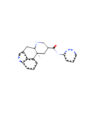 O=C(Nc1cccnn1)C1CN[C@@H]2Cc3c[nH]c4cccc(c34)[C@H]2C1